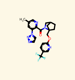 Cc1cnc(C(=O)N2CC3CCC2(COc2ccc(C(F)(F)F)cn2)C3)c(-n2ccnn2)c1